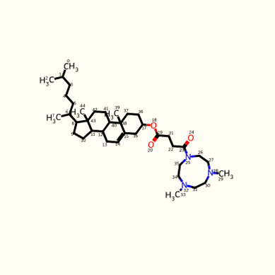 CC(C)CCCC(C)C1CCC2C3CC=C4CC(OC(=O)CCC(=O)N5CCN(C)CCN(C)CC5)CCC4(C)C3CCC12C